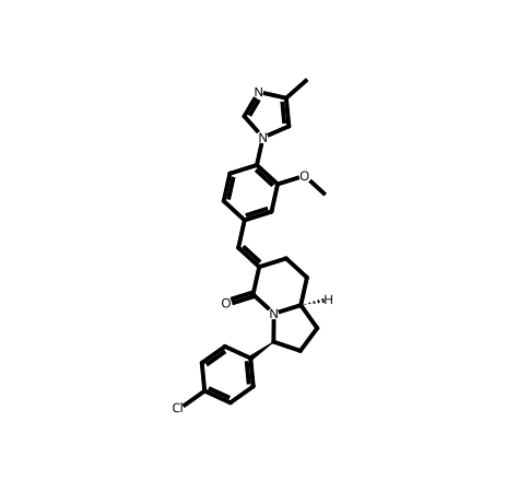 COc1cc(C=C2CC[C@H]3CC[C@@H](c4ccc(Cl)cc4)N3C2=O)ccc1-n1cnc(C)c1